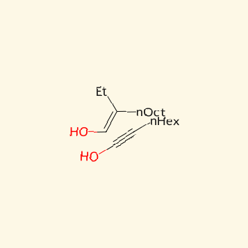 CCCCCCC#CO.CCCCCCCCC(=CO)CC